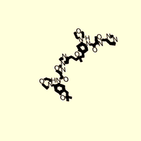 CC1(C)Cc2cc(NC(=O)c3coc(-n4cnc(CCC5(C)Cc6cc(NC(=O)c7coc(-c8ccncn8)n7)c(N7CCOCC7)cc6O5)c4)n3)c(N3CCOCC3)cc2O1